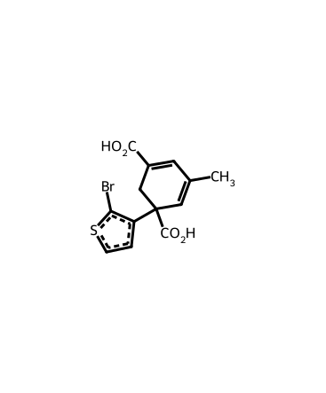 CC1=CC(C(=O)O)(c2ccsc2Br)CC(C(=O)O)=C1